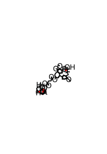 COc1ccc(C2=CC(OC(=O)CCC(=O)O[C@@H]3O[C@@H]4C[C@@]5(C)CC[C@H]6[C@H](C)CC[C@@H]([C@H]3C)[C@@]46OO5)CCc3c2cc(OC)c(OC)c3OC)cc1CC(C)(C)[Si](C)(C)O